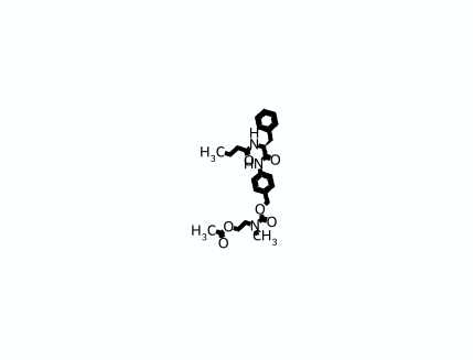 CCCC(=O)N[C@@H](Cc1ccccc1)C(=O)Nc1ccc(COC(=O)N(C)CCOC(C)=O)cc1